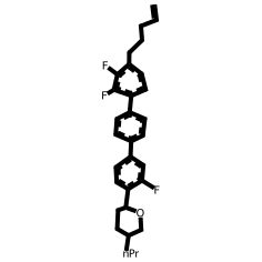 C=CCCCc1ccc(-c2ccc(-c3ccc(C4CCC(CCC)CO4)c(F)c3)cc2)c(F)c1F